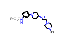 CCOC(=O)Nc1cccc(N2CCC(NCCN3CCN(C(C)C)CC3)CC2)c1